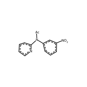 CC(=O)N(c1cccc([N+](=O)[O-])c1)c1ccccn1